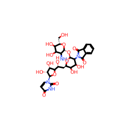 NC1C(O)C(O)[C@H](CO)O[C@@H]1O[C@@H]1O[C@H](C[C@@H](O)C2O[C@@H](n3ccc(=O)[nH]c3=O)[C@H](O)[C@@H]2O)C(O)C(O)C1N1C(=O)c2ccccc2C1=O